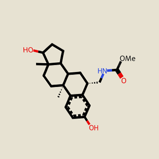 COC(=O)NC[C@H]1CC2C3CCC(O)C3(C)CC[C@]2(C)c2ccc(O)cc21